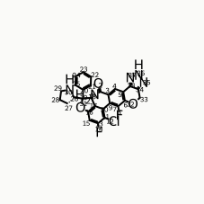 NC(=O)c1cc2c(c(F)c1-c1c(Cl)c(F)cc3c1C[C@](c1ccccc1)([C@@H]1CCCN1)O3)OCc1n[nH]nc1-2